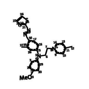 COc1ccc(N(CC[n+]2ccc(C)cc2)c2ccc(N=NC3=[N+]C=CS3)c(C)c2)cc1